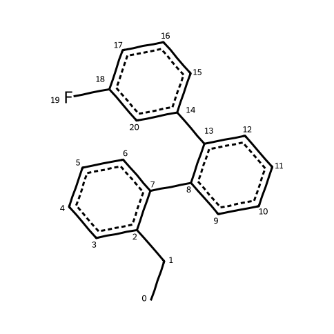 CCc1ccccc1-c1ccccc1-c1cccc(F)c1